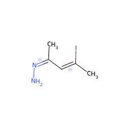 C/C(I)=C/C(C)=N\N